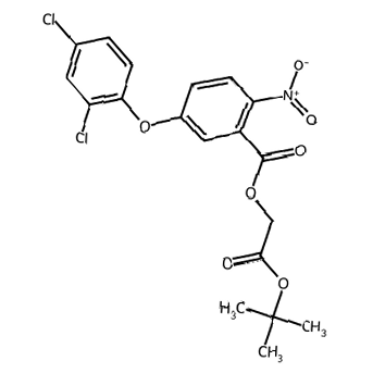 CC(C)(C)OC(=O)COC(=O)c1cc(Oc2ccc(Cl)cc2Cl)ccc1[N+](=O)[O-]